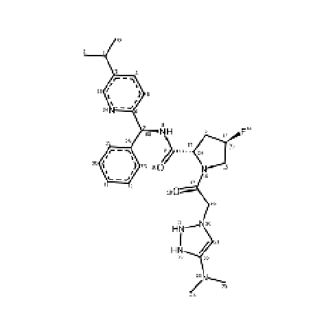 CC(C)c1ccc([C@@H](NC(=O)[C@@H]2C[C@@H](F)CN2C(=O)CN2C=C(N(C)C)NN2)c2ccccc2)nc1